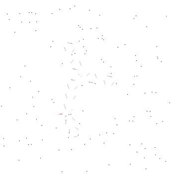 O=C1C(=Cc2ccc3cc(N(c4ccc(-c5ccccc5)cc4)c4ccc(-c5ccccc5)cc4)ccc3c2)C(=O)c2cc3ccccc3cc21